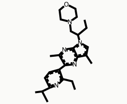 CCc1nc(C(C)C)ccc1-c1nc2c(C)cn(C(CC)CN3CCOCC3)c2nc1C